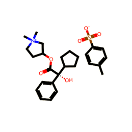 C[N+]1(C)CCC(OC(=O)[C@](O)(c2ccccc2)C2CCCC2)C1.Cc1ccc(S(=O)(=O)[O-])cc1